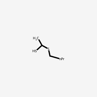 CCCCSC(C)S